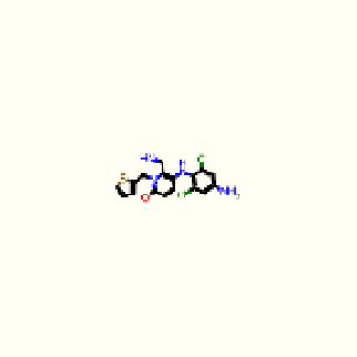 N=Cc1c(Nc2c(Cl)cc(N)cc2Cl)ccc(=O)n1Cc1cccs1